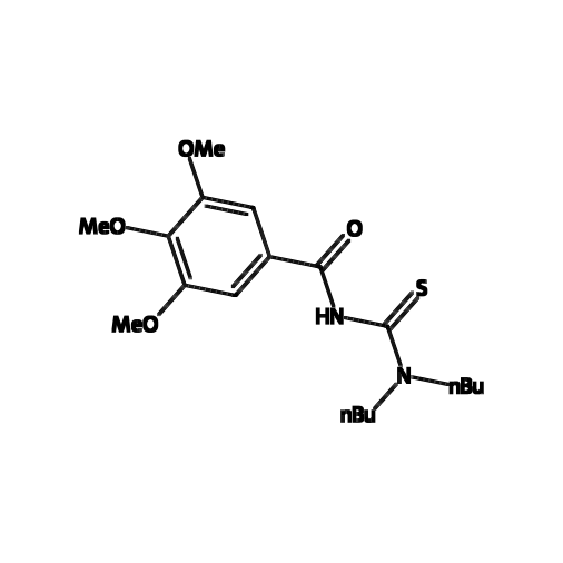 CCCCN(CCCC)C(=S)NC(=O)c1cc(OC)c(OC)c(OC)c1